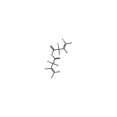 C=C(OC(=C)C(F)(F)C(F)=C(F)F)C(F)(F)C(F)=C(F)F